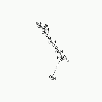 NC(=O)[C@H](CCCCNC(=O)CCOCCOCCNC(=O)CCOCCOCCNC(=O)[C@H](CCCNC(=O)CBr)NC(=O)CBr)NC(=O)CCCCCCCCCCCCCCCCC(=O)O